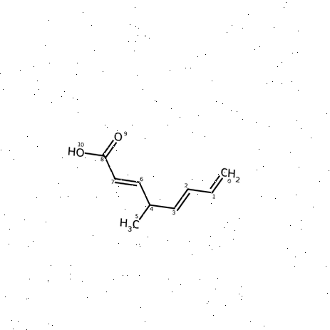 C=CC=CC(C)C=CC(=O)O